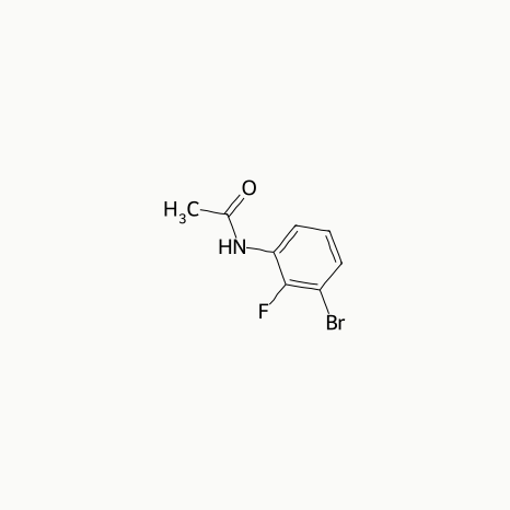 CC(=O)Nc1cccc(Br)c1F